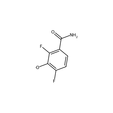 NC(=O)c1ccc(F)c([O])c1F